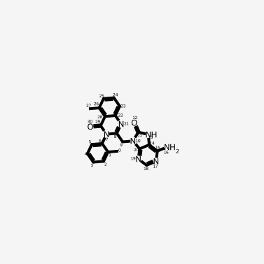 Cc1ccccc1-n1c(Cn2c(=O)[nH]c3c(N)ncnc32)nc2cccc(C)c2c1=O